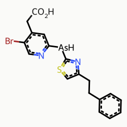 O=C(O)Cc1cc([AsH]c2nc(CCc3ccccc3)cs2)ncc1Br